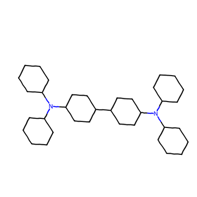 C1CCC(N(C2CCCCC2)C2CCC(C3CCC(N(C4CCCCC4)C4CCCCC4)CC3)CC2)CC1